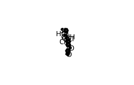 CSN1CCC=C(C[C@H](NC(=O)c2c(Cl)cc3c(c2Cl)CCN(C(=O)c2ccc4ccoc4c2)C3)C(=O)O)C1